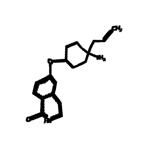 C=CCC1(N)CCC(Oc2ccc3c(=O)[nH]ccc3c2)CC1